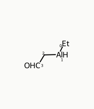 C[CH2][AlH][CH2]C=O